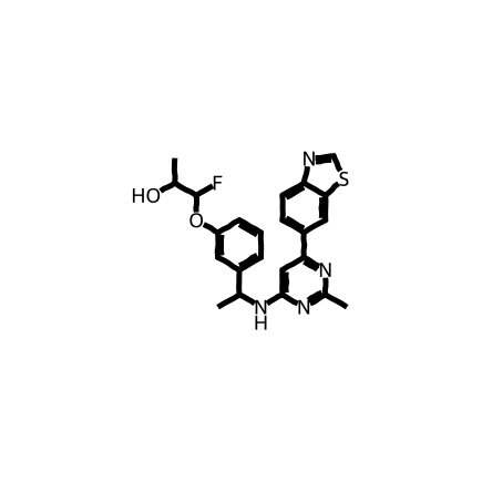 Cc1nc(NC(C)c2cccc(OC(F)C(C)O)c2)cc(-c2ccc3ncsc3c2)n1